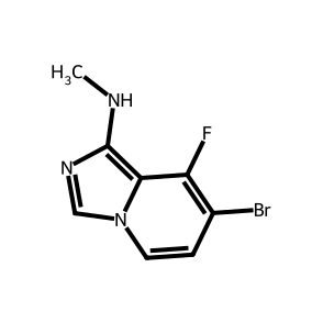 CNc1ncn2ccc(Br)c(F)c12